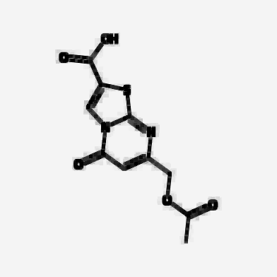 CC(=O)OCc1cc(=O)n2cc(C(=O)O)sc2n1